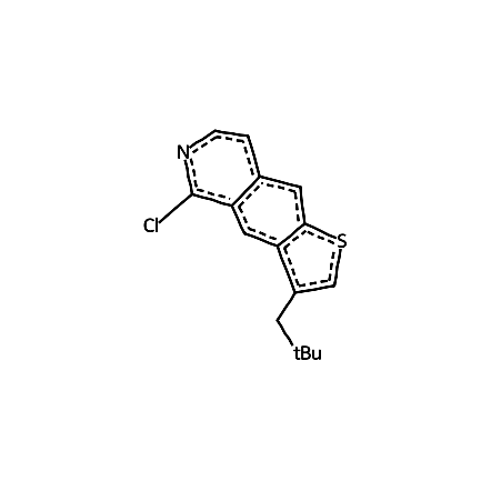 CC(C)(C)Cc1csc2cc3ccnc(Cl)c3cc12